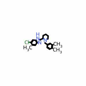 Cc1ccc(CN2CCCCC2c2nc3cc(C)c(Cl)cc3[nH]2)cc1C